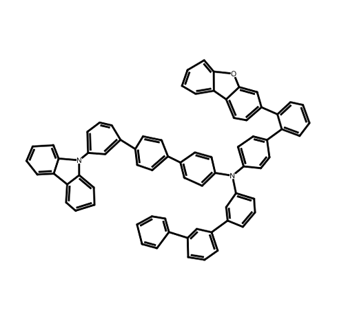 c1ccc(-c2cccc(-c3cccc(N(c4ccc(-c5ccc(-c6cccc(-n7c8ccccc8c8ccccc87)c6)cc5)cc4)c4ccc(-c5ccccc5-c5ccc6c(c5)oc5ccccc56)cc4)c3)c2)cc1